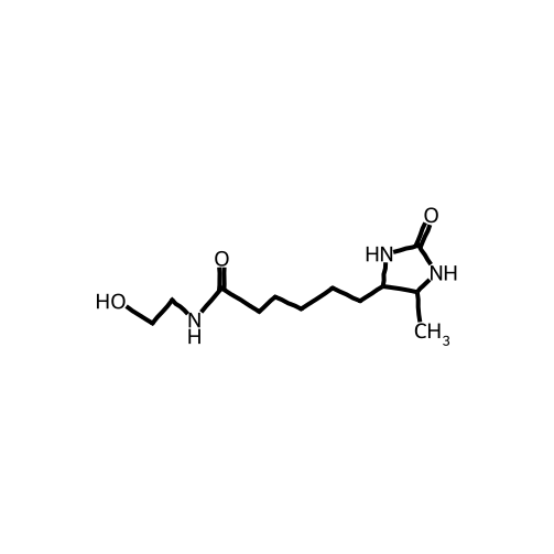 CC1NC(=O)NC1CCCCCC(=O)NCCO